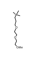 COCCOCCOCCC[Si](C)(C)C